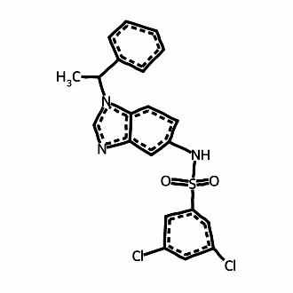 CC(c1ccccc1)n1cnc2cc(NS(=O)(=O)c3cc(Cl)cc(Cl)c3)ccc21